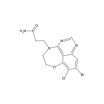 NC(=O)CCN1CCOc2c(Cl)c(Br)cc3ncnc1c23